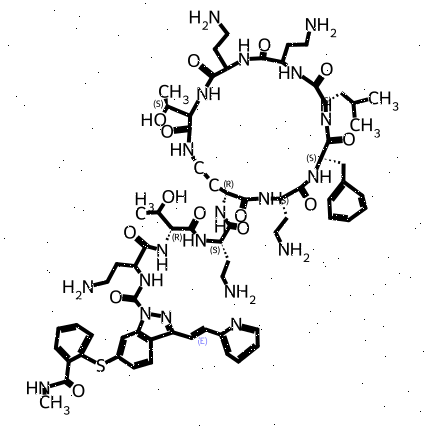 CNC(=O)c1ccccc1Sc1ccc2c(/C=C/c3ccccn3)nn(C(=O)NC(CCN)C(=O)N[C@@H](C(=O)N[C@@H](CCN)C(=O)N[C@@H]3CCNC(=O)C([C@H](C)O)NC(=O)C(CCN)NC(=O)C(CCN)NC(=O)[C@H](CC(C)C)NC(=O)[C@H](Cc4ccccc4)NC(=O)[C@H](CCN)NC3=O)C(C)O)c2c1